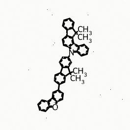 CC1(C)c2cc(-c3ccc4oc5ccccc5c4c3)ccc2-c2ccc(-n3c4ccccc4c4c5c(ccc43)-c3ccccc3C5(C)C)cc21